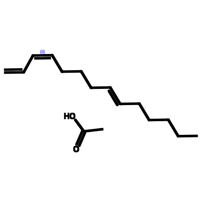 C=C/C=C\CCCC=CCCCCC.CC(=O)O